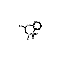 CCC1CN(Cl)S(=O)(=O)c2cccnc2O1